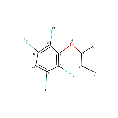 CCC(C)Oc1c(F)c(F)[c]c(F)c1F